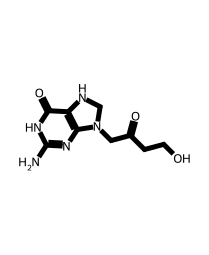 Nc1nc2c(c(=O)[nH]1)NCN2CC(=O)CCO